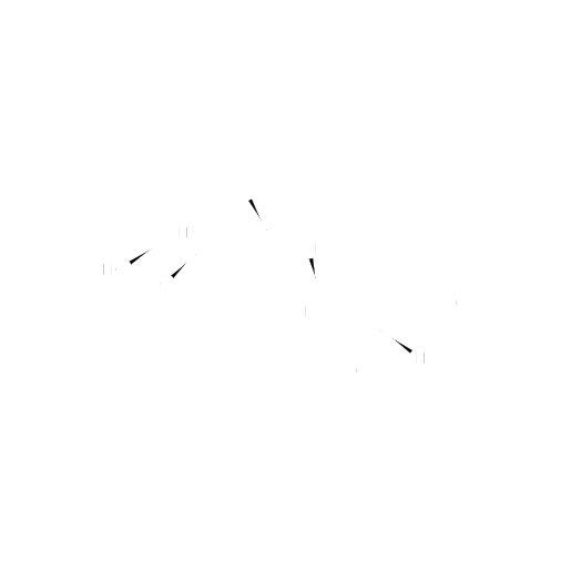 C[C@]12CC[C@H]3[C@@H](CCC4=CC(=O)[C@@H]5OC5[C@@]43C)[C@@H]1CC[C@@H]2O